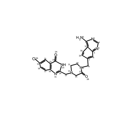 Nc1ncnc2cc(CN3CCN(Cc4nc5ccc(Cl)cc5c(=O)[nH]4)CC3=O)ccc12